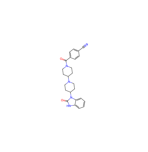 N#Cc1ccc(C(=O)N2CCC(N3CCC(n4c(=O)[nH]c5ccccc54)CC3)CC2)cc1